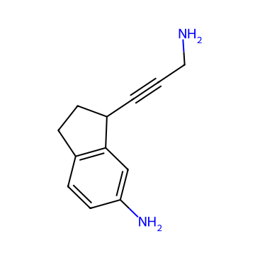 NCC#CC1CCc2ccc(N)cc21